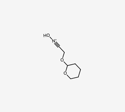 O[N+]#CCOC1CCCCO1